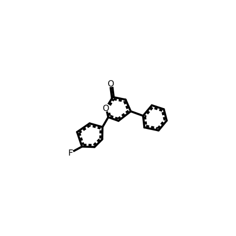 O=c1cc(-c2ccccc2)cc(-c2ccc(F)cc2)o1